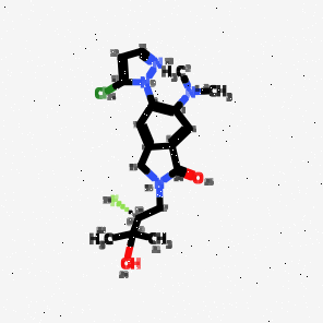 CN(C)c1cc2c(cc1-n1nccc1Cl)CN(C[C@@H](F)C(C)(C)O)C2=O